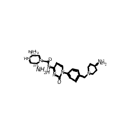 NC1CCN(Cc2ccc(-n3ccc(NC(=O)N4C[C@@H](N)NC[C@H]4N)nc3=O)cc2)CC1